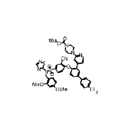 COc1ccc(CN(c2ncns2)S(=O)(=O)c2ccc(Oc3ccc(-c4ccc(C(F)(F)F)cc4)cc3-c3ccnc(N4CCN(C(=O)OC(C)(C)C)CC4)c3)c(C#N)c2)c(OC)c1